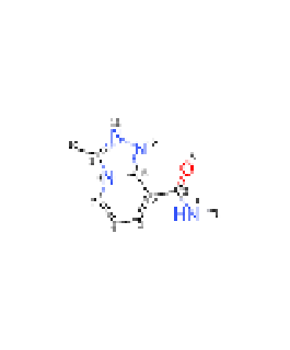 CNC(=O)c1cccn2c(C)nnc12